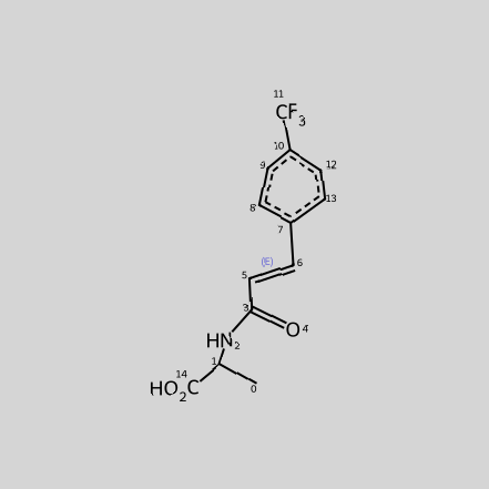 CC(NC(=O)/C=C/c1ccc(C(F)(F)F)cc1)C(=O)O